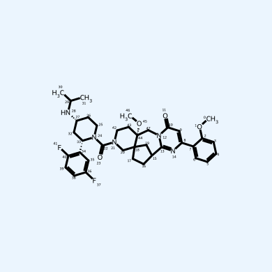 COc1ccccc1-c1cc(=O)n2c(n1)C1CCC3(C1)CN(C(=O)N1CC[C@@H](NC(C)C)C[C@H]1c1cc(F)ccc1F)CC[C@@]3(OC)C2